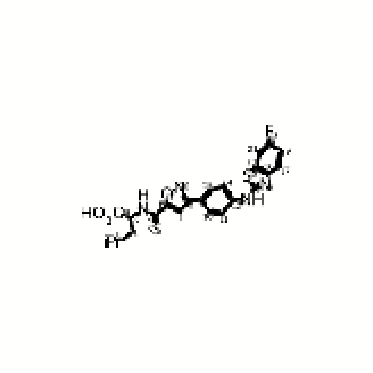 CC(C)C[C@H](NC(=S)c1cc(-c2ccc(Nc3nc4ccc(F)cc4s3)cc2)no1)C(=O)O